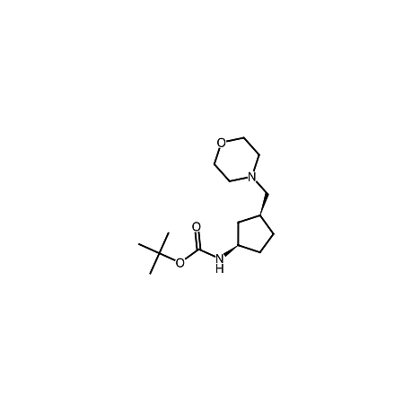 CC(C)(C)OC(=O)N[C@@H]1CC[C@H](CN2CCOCC2)C1